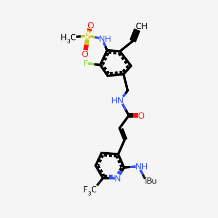 C#Cc1cc(CNC(=O)/C=C/c2ccc(C(F)(F)F)nc2NC(C)CC)cc(F)c1NS(C)(=O)=O